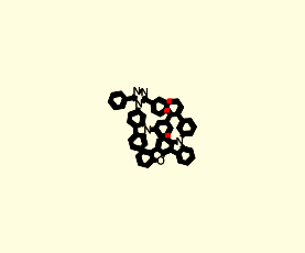 c1ccc(-c2nnc(-c3ccccc3)n2-c2ccc3c4ccccc4n(-c4cccc(-c5ccccc5-c5cccc(-n6c7ccccc7c7c8oc9ccccc9c8ccc76)c5)c4)c3c2)cc1